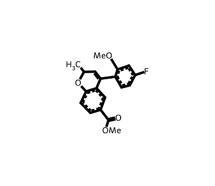 COC(=O)c1ccc2c(c1)C(c1ccc(F)cc1OC)=CC(C)O2